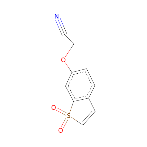 N#CCOc1ccc2c(c1)S(=O)(=O)C=C2